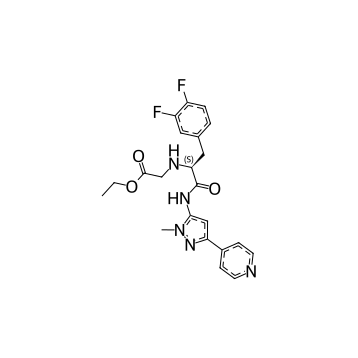 CCOC(=O)CN[C@@H](Cc1ccc(F)c(F)c1)C(=O)Nc1cc(-c2ccncc2)nn1C